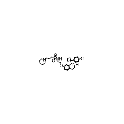 O=S(=O)(CCCN1CCCCC1)NCCOc1ccc2c(c1)C(C1(c3ccc(Cl)cc3)CCC1)NCC2